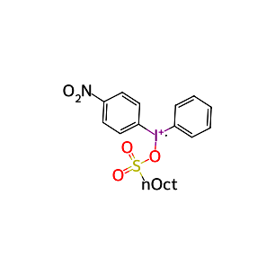 CCCCCCCCS(=O)(=O)O[I+](c1ccccc1)c1ccc([N+](=O)[O-])cc1